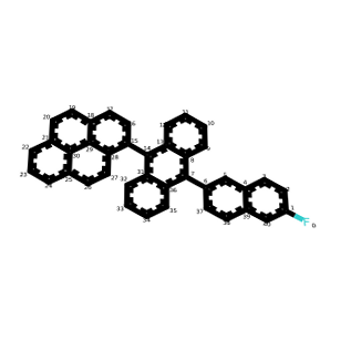 Fc1ccc2cc(-c3c4ccccc4c(-c4ccc5ccc6cccc7ccc4c5c67)c4ccccc34)ccc2c1